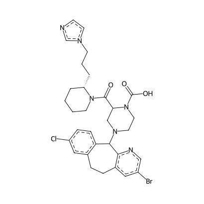 O=C(O)N1CCN(C2c3ccc(Cl)cc3CCc3cc(Br)cnc32)CC1C(=O)N1CCCC[C@@H]1CCCn1ccnc1